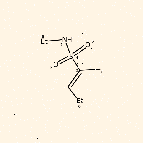 CC/C=C(\C)S(=O)(=O)NCC